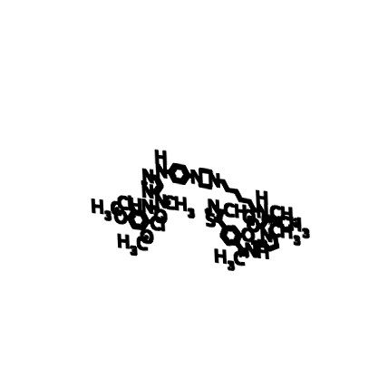 COc1cc(OC)c(Cl)c(NC(=O)N(C)c2cc(Nc3ccc(N4CCN(CCCCCC(=O)N[C@H](C(=O)N5CCC[C@H]5C(=O)N[C@@H](C)c5ccc(-c6scnc6C)cc5)C(C)(C)C)CC4)cc3)ncn2)c1Cl